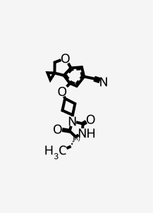 CC[C@H]1NC(=O)N(C2CC(Oc3cc(C#N)cc4c3C3(CC3)CO4)C2)C1=O